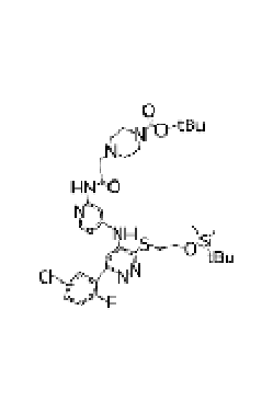 CC(C)(C)OC(=O)N1CCN(CC(=O)Nc2cc(Nc3cc(-c4cc(Cl)ccc4F)nnc3SCCO[Si](C)(C)C(C)(C)C)ccn2)CC1